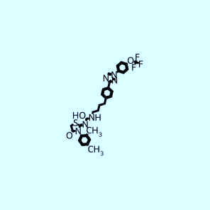 Cc1ccc(N2C(=O)CS/C2=N\C(O)NCCCCc2ccc(-c3ncn(-c4ccc(OC(F)(F)F)cc4)n3)cc2)c(C)c1